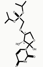 CC(C)OP(=O)(CO[C@H]1COC(O)(n2ccc(=O)[nH]c2=O)[C@@H]1O)OC(C)C